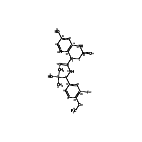 CC(C)(O)C(NC(=O)N1CC(=O)Nc2cc(O)cnc21)c1ccc(OC(F)(F)F)c(F)c1